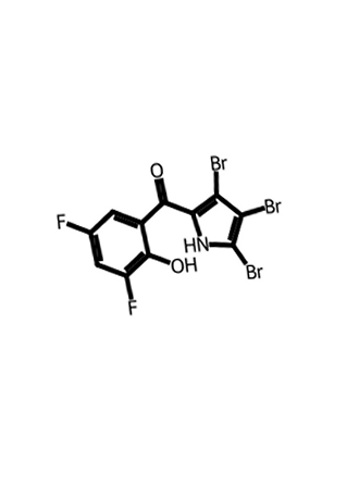 O=C(c1cc(F)cc(F)c1O)c1[nH]c(Br)c(Br)c1Br